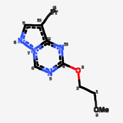 COCCOc1ncn2ncc(C(C)C)c2n1